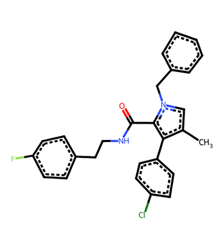 Cc1cn(Cc2ccccc2)c(C(=O)NCCc2ccc(F)cc2)c1-c1ccc(Cl)cc1